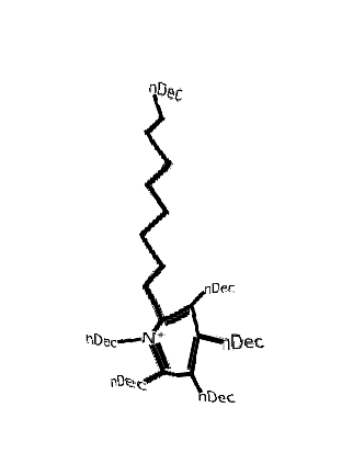 CCCCCCCCCCCCCCCCCCc1c(CCCCCCCCCC)c(CCCCCCCCCC)c(CCCCCCCCCC)c(CCCCCCCCCC)[n+]1CCCCCCCCCC